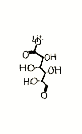 O=C[C@H](O)[C@@H](O)[C@H](O)[C@H](O)C(=O)[O-].[Li+]